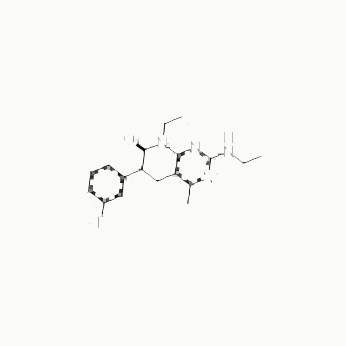 CCNc1nc(C)c2c(n1)N(CC)C(=O)C(c1cccc(F)c1)C2